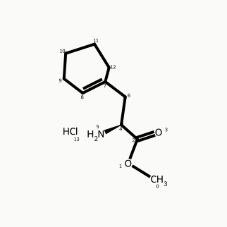 COC(=O)[C@@H](N)CC1=CCCCC1.Cl